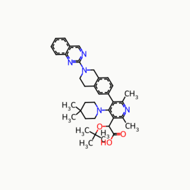 Cc1nc(C)c(C(OC(C)(C)C)C(=O)O)c(N2CCC(C)(C)CC2)c1-c1ccc2c(c1)CCN(c1ncc3ccccc3n1)C2